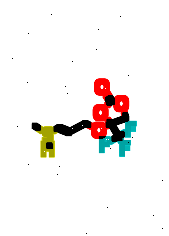 C[SH](C)/C=C/COC1(C(F)(F)F)COC(=O)O1